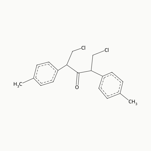 Cc1ccc(C(CCl)C(=O)C(CCl)c2ccc(C)cc2)cc1